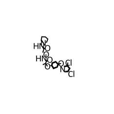 CC(Oc1ccc(Oc2ncc(Cl)cc2Cl)cc1)C(=O)NOCC(=O)NN1CCCCC1